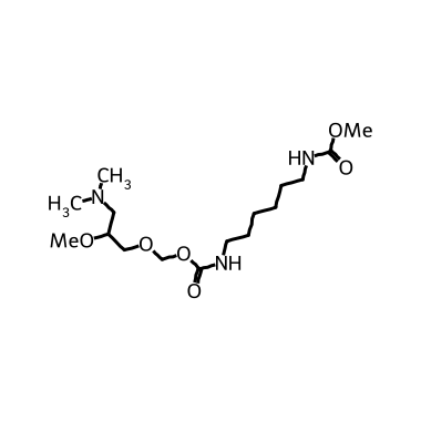 COC(=O)NCCCCCCNC(=O)OCOCC(CN(C)C)OC